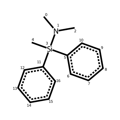 CN(C)[Si](C)(c1ccccc1)c1ccccc1